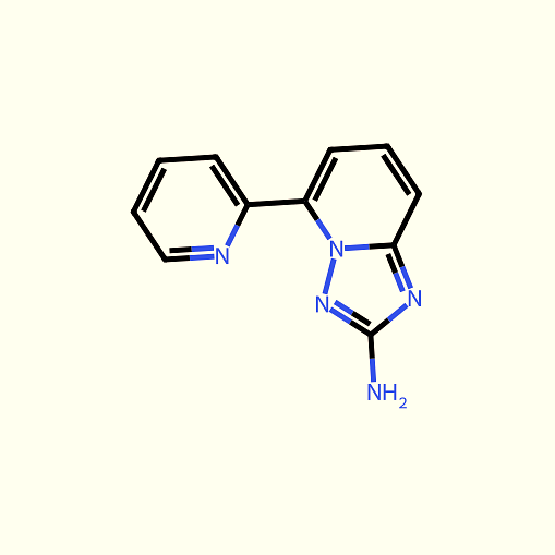 Nc1nc2cccc(-c3ccccn3)n2n1